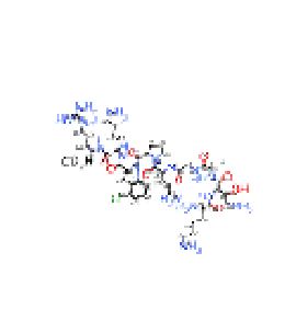 C[C@H](NC(=O)[C@@H](NC(=O)[C@@H](N)CCCCN)[C@@H](O)CN)C(=O)NCC(=O)/N=C(\CCCN)C(=O)N1CCC[C@H]1C(=O)N[C@@H](Cc1ccccc1Cl)C(=O)N[C@@H](CCCCN)C(=O)N/C(=C\CCNC(=N)N)C(=O)O